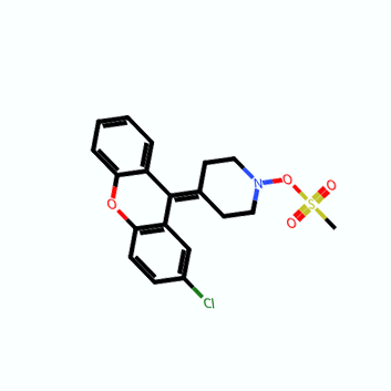 CS(=O)(=O)ON1CCC(=C2c3ccccc3Oc3ccc(Cl)cc32)CC1